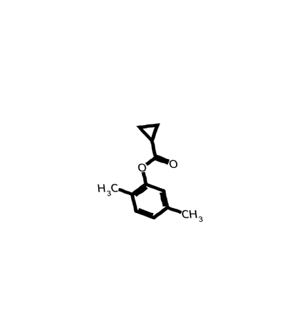 Cc1ccc(C)c(OC(=O)C2CC2)c1